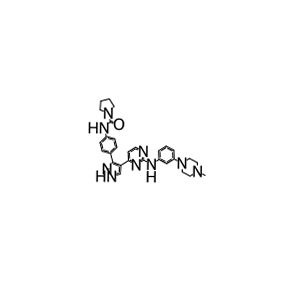 CN1CCN(c2cccc(Nc3nccc(-c4c[nH]nc4-c4ccc(NC(=O)N5CCCC5)cc4)n3)c2)CC1